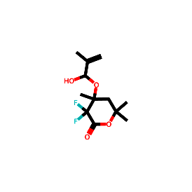 C=C(C)C(O)OC1(C)CC(C)(C)OC(=O)C1(F)F